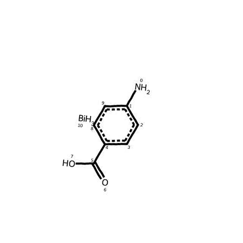 Nc1ccc(C(=O)O)cc1.[BiH3]